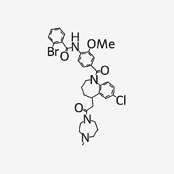 COc1cc(C(=O)N2CCCC(CC(=O)N3CCCN(C)CC3)c3cc(Cl)ccc32)ccc1NC(=O)c1ccccc1Br